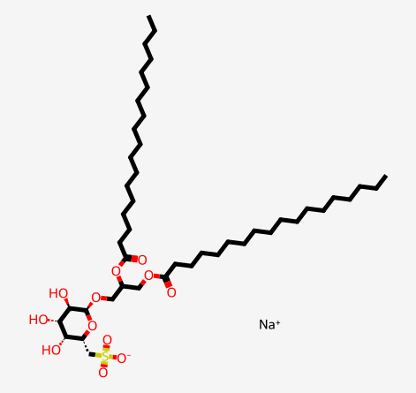 CCCCCCCCCCCCCCCCCC(=O)OCC(CO[C@H]1O[C@H](CS(=O)(=O)[O-])[C@H](O)[C@H](O)[C@H]1O)OC(=O)CCCCCCCCCCCCCCCCC.[Na+]